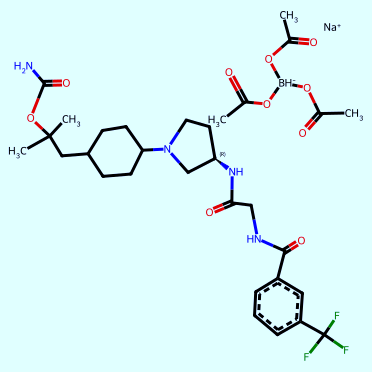 CC(=O)O[BH-](OC(C)=O)OC(C)=O.CC(C)(CC1CCC(N2CC[C@@H](NC(=O)CNC(=O)c3cccc(C(F)(F)F)c3)C2)CC1)OC(N)=O.[Na+]